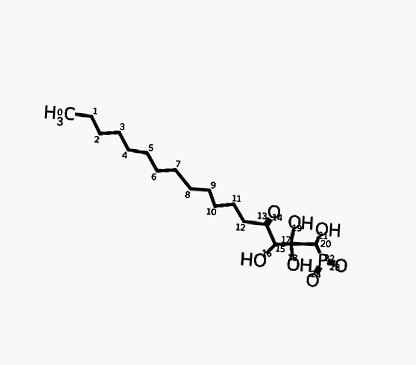 CCCCCCCCCCCCCC(=O)C(O)C(O)(O)C(O)P(=O)=O